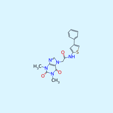 Cn1c(=O)c2c(ncn2CC(=O)Nc2cc(-c3ccccc3)cs2)n(C)c1=O